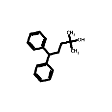 CC(C)(O)CCC(c1ccccc1)c1ccccc1